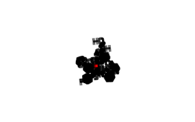 CCOC(=O)[C@@H](Cc1cc(CNCCO)ccc1OCc1ccnc(-c2ccccc2OC)n1)Oc1ncnc2sc(-c3ccc(F)cc3)c(-c3ccc(C4OCCCO4)c(Cl)c3C)c12